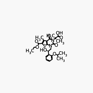 CCOC(=O)c1sc2c(c1C)c(=O)n(C(C)(C)C(=O)O)c(=O)n2C[C@H](O)c1ccccc1OC(C)C